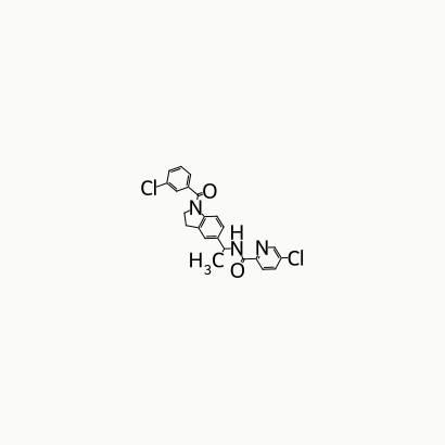 CC(NC(=O)c1ccc(Cl)cn1)c1ccc2c(c1)CCN2C(=O)c1cccc(Cl)c1